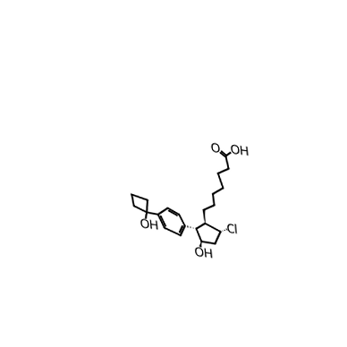 O=C(O)CCCCCC[C@@H]1[C@@H](c2ccc(C3(O)CCC3)cc2)[C@H](O)C[C@H]1Cl